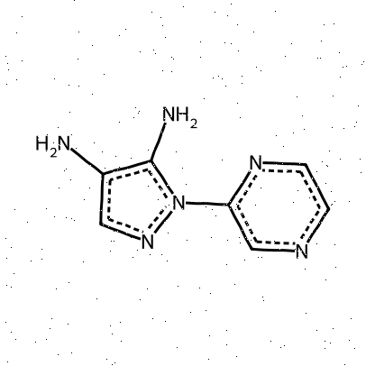 Nc1cnn(-c2cnccn2)c1N